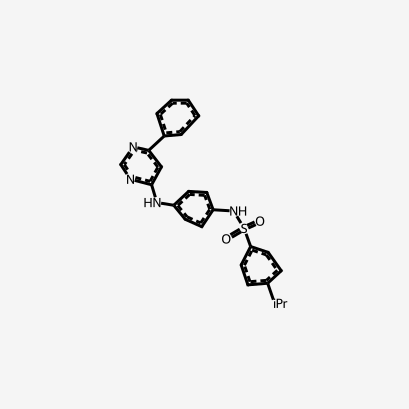 CC(C)c1ccc(S(=O)(=O)Nc2ccc(Nc3cc(-c4ccccc4)ncn3)cc2)cc1